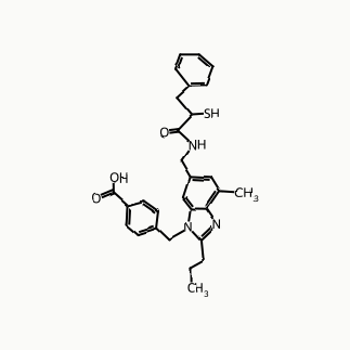 CCCc1nc2c(C)cc(CNC(=O)C(S)Cc3ccccc3)cc2n1Cc1ccc(C(=O)O)cc1